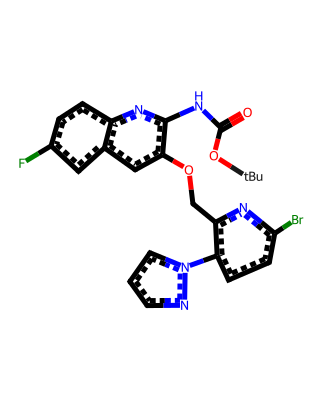 CC(C)(C)OC(=O)Nc1nc2ccc(F)cc2cc1OCc1nc(Br)ccc1-n1cccn1